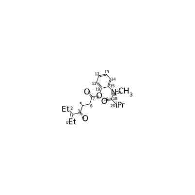 CCC(CC)C(=O)CCC(=O)Oc1ccccc1N(C)C(=O)C(C)C